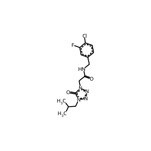 CC(C)Cn1nnn(CC(=O)NCc2ccc(Cl)c(F)c2)c1=O